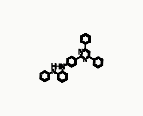 c1ccc(Nc2ccccc2Nc2ccc(-c3nc(-c4ccccc4)cc(-c4ccccc4)n3)cc2)cc1